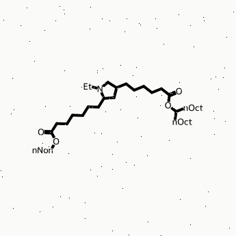 CCCCCCCCCOC(=O)CCCCCCC1CC(CCCCCC(=O)OC(CCCCCCCC)CCCCCCCC)CN1CC